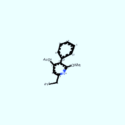 COc1nc(CC(C)C)cc(OC(C)=O)c1-c1ccccc1